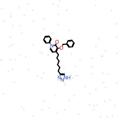 O=c1c(OCc2ccccc2)c(CCCCCCc2c[nH]nn2)ccn1-c1ccccc1